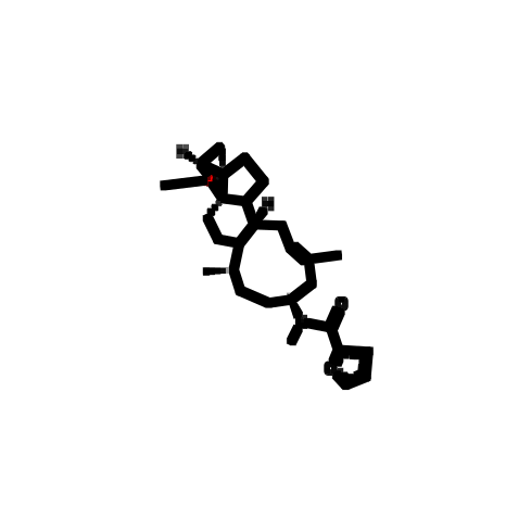 C/C1=C\C[C@@H]2C(CC[C@]34CN(C)[C@H]5C[C@@]53CCC24)[C@@H](C)CC[C@H](N(C)C(=O)c2ccco2)C1